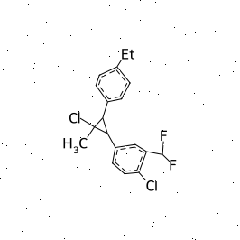 CCc1ccc(C2C(c3ccc(Cl)c(C(F)F)c3)C2(C)Cl)cc1